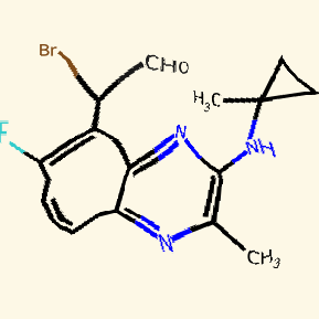 Cc1nc2ccc(F)c(C(Br)C=O)c2nc1NC1(C)CC1